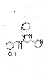 Oc1cccc(CNc2cc(-c3cccnc3)nc(-c3ccccn3)n2)c1